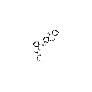 CCNC(=O)Nc1ccccc1Nc1ccc2c(c1)OCc1ccccc1C2=O